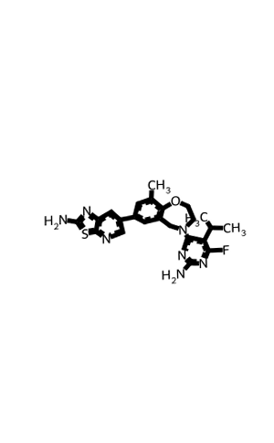 Cc1cc(-c2cnc3sc(N)nc3c2)cc2c1OCCN(c1nc(N)nc(F)c1C(C)C)C2